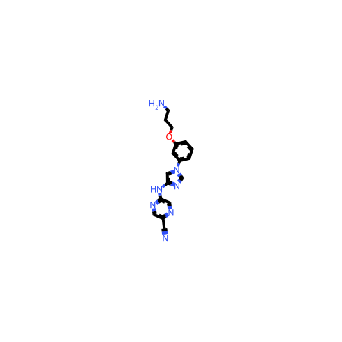 N#Cc1cnc(Nc2cn(-c3cccc(OCCCN)c3)cn2)cn1